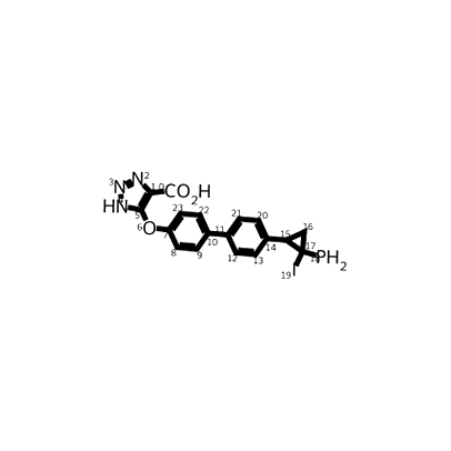 O=C(O)c1nn[nH]c1Oc1ccc(-c2ccc(C3CC3(P)I)cc2)cc1